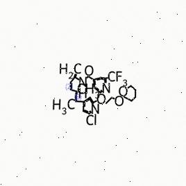 C=C(/C=C\C(C)=C(/C)c1cc(Cl)nc(OCCOC2CCCCO2)c1)NC(=O)c1ccnc(C(F)(F)F)c1